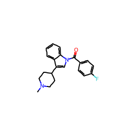 CN1CCC(c2cn(C(=O)c3ccc(F)cc3)c3ccccc23)CC1